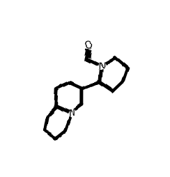 O=CN1CCCCC1C1CCC2CCCCN2C1